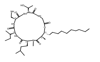 CCCCCCCCCC[C@H]1OC(=O)CNC(=O)[C@H](C(C)O)NC(=O)[C@H](CN)NC(=O)[C@H](C(C)CC)NC(=O)[C@H](CCC(C)C)N(C)C(=O)[C@@H]1C